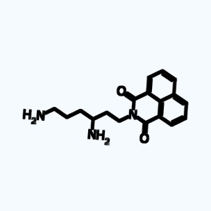 NCCCC(N)CCN1C(=O)c2cccc3cccc(c23)C1=O